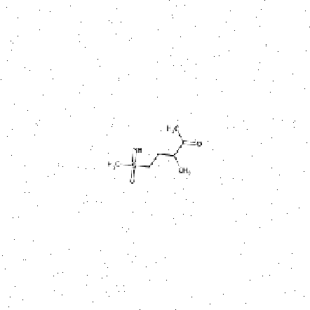 CC(=O)C(C)CCS(C)(=N)=O